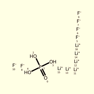 O=P(O)(O)O.[F-].[F-].[F-].[F-].[F-].[F-].[Li+].[Li+].[Li+].[Li+].[Li+].[Li+]